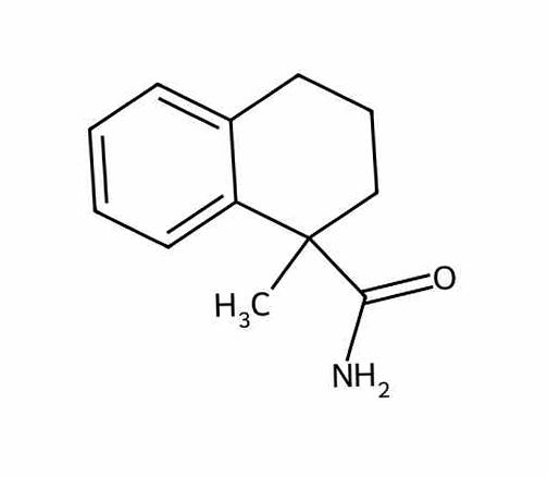 CC1(C(N)=O)CCCc2ccccc21